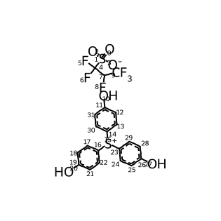 O=S(=O)([O-])C(F)(F)C(F)C(F)(F)F.Oc1ccc([S+](c2ccc(O)cc2)c2ccc(O)cc2)cc1